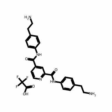 NCCc1ccc(NC(=O)c2ccnc(C(=O)Nc3ccc(CCN)cc3)c2)cc1.O=C(O)C(F)(F)F